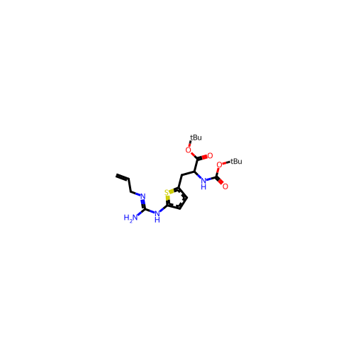 C=CCN=C(N)Nc1ccc(CC(NC(=O)OC(C)(C)C)C(=O)OC(C)(C)C)s1